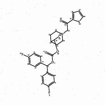 O=C(OC(c1ccc(F)cc1)c1ccc(F)cc1)OC1C[N+]2(CC(=O)c3cccs3)CCC1CC2